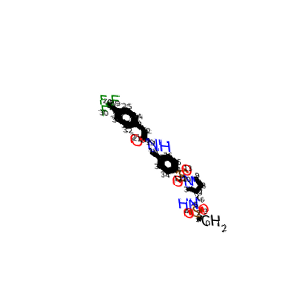 C=CS(=O)(=O)NC[C@H]1CCN(S(=O)(=O)c2ccc(CNC(=O)Cc3ccc(C(F)(F)F)cc3)cc2)C1